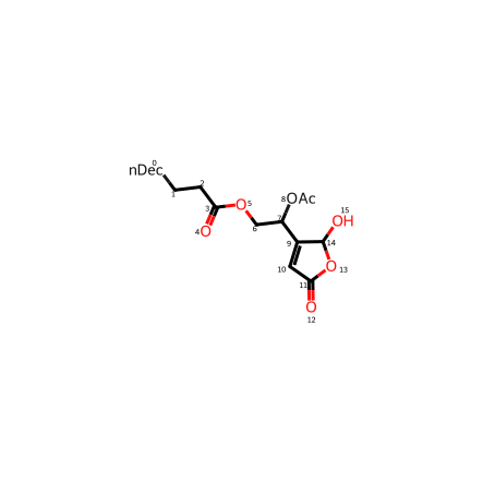 CCCCCCCCCCCCC(=O)OCC(OC(C)=O)C1=CC(=O)OC1O